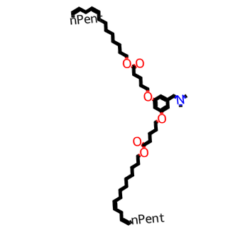 CCCCC/C=C\C/C=C\CCCCCCCCOC(=O)CCCCOc1cc(CN(C)C)cc(OCCCCC(=O)OCCCCCCCC/C=C\C/C=C\CCCCC)c1